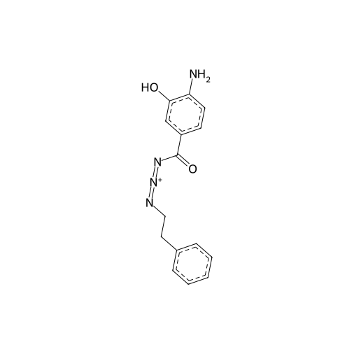 Nc1ccc(C(=O)N=[N+]=NCCc2ccccc2)cc1O